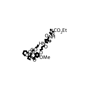 C=CCOC(=O)N1c2cc(OCCCC(=O)Nc3cc(C(=O)Nc4cn(C)c(C(=O)OCC)n4)n(C)c3)c(OC)cc2C(=O)N2CCC[C@H]2C1OC1CCCCO1